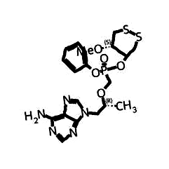 CO[C@@H]1CSSCC1OP(=O)(CO[C@H](C)Cn1cnc2c(N)ncnc21)Oc1ccccc1